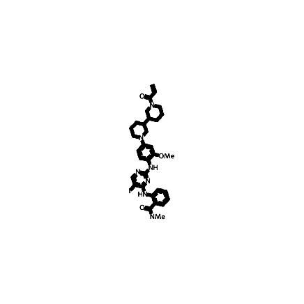 C=CC(=O)N1CCCC(C2CCCN(c3ccc(Nc4ncc(I)c(Nc5ccccc5C(=O)NC)n4)c(OC)c3)C2)C1